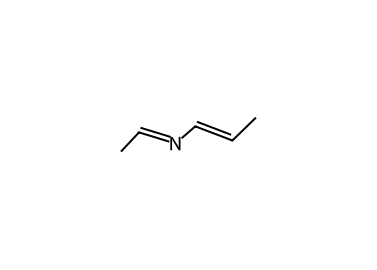 CC=CN=CC